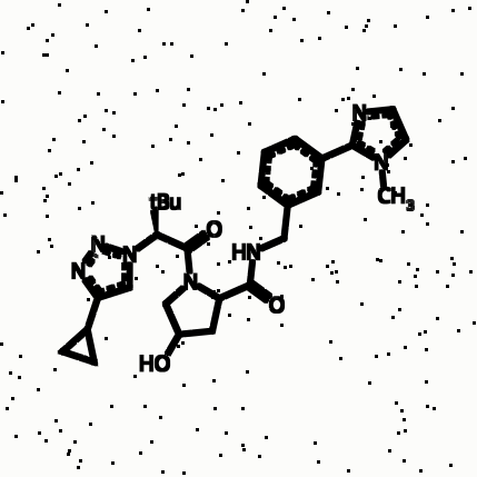 Cn1ccnc1-c1cccc(CNC(=O)C2CC(O)CN2C(=O)[C@@H](n2cc(C3CC3)nn2)C(C)(C)C)c1